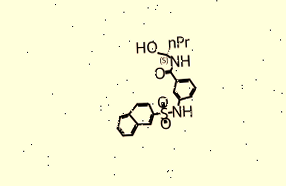 CCC[C@@H](CO)NC(=O)c1cccc(NS(=O)(=O)c2ccc3ccccc3c2)c1